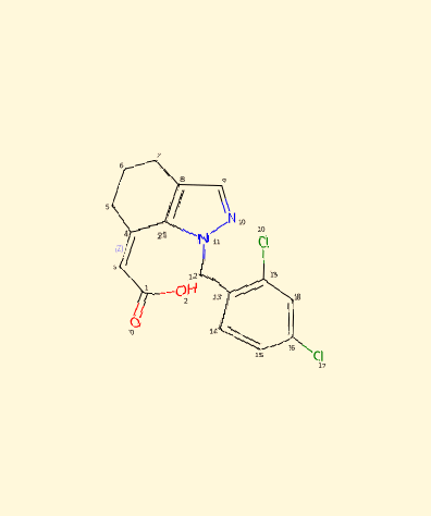 O=C(O)/C=C1/CCCc2cnn(Cc3ccc(Cl)cc3Cl)c21